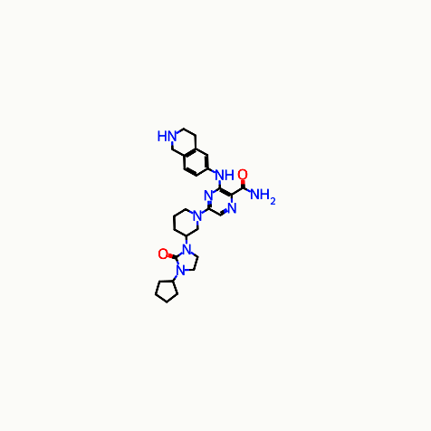 NC(=O)c1ncc(N2CCCC(N3CCN(C4CCCC4)C3=O)C2)nc1Nc1ccc2c(c1)CCNC2